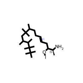 CC(CC(C)(C)C(C)CC/C=C/CC(OI)[C@H](C)N)C(C)C(C)(C)C(C)(C)C